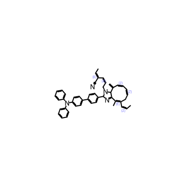 C=C1/C=C\C=C/CC(/C=C\C)=C(/C)C2=NC(c3ccc(-c4ccc(N(c5ccccc5)c5ccccc5)cc4)cc3)N(C/C=C\C(C#N)=C/C)C12